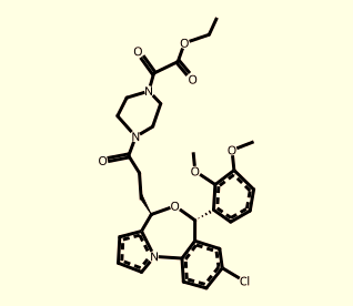 CCOC(=O)C(=O)N1CCN(C(=O)CC[C@H]2O[C@H](c3cccc(OC)c3OC)c3cc(Cl)ccc3-n3cccc32)CC1